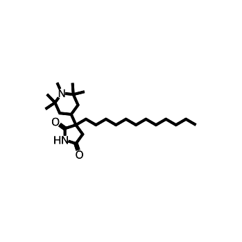 CCCCCCCCCCCCC1(C2CC(C)(C)N(C)C(C)(C)C2)CC(=O)NC1=O